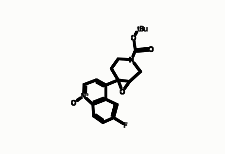 CC(C)(C)OC(=O)N1CCC2(c3cc[n+]([O-])c4ccc(F)cc34)OC2C1